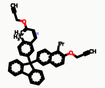 C#CCOC(=C)/C=C\c1cc(C2(c3ccc4c(C(C)C)c(OCC#C)ccc4c3)c3ccccc3-c3ccccc32)ccc1C